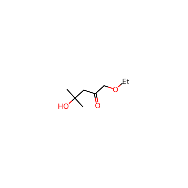 CCOCC(=O)CC(C)(C)O